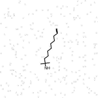 C=CCCCCCCCC(C)(C)[NH]